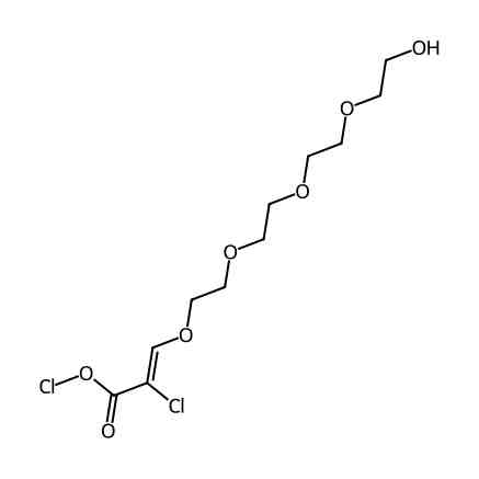 O=C(OCl)C(Cl)=COCCOCCOCCOCCO